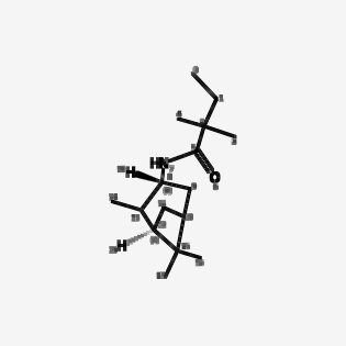 CCC(C)(C)C(=O)N[C@@H]1CC2C[C@H](C1C)C2(C)C